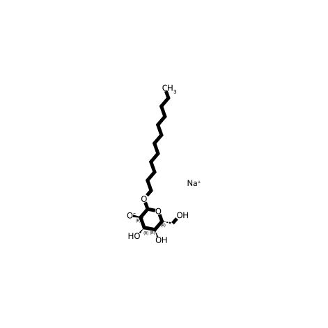 CCCCCCCCCCCCOC1O[C@H](CO)[C@H](O)[C@H](O)[C@H]1[O-].[Na+]